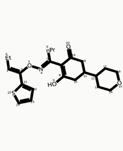 CC/C=C(\ON=C(CCC)C1=C(O)CC(C2CCOCC2)CC1=O)c1cccs1